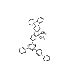 CC1(C)C2=CC3C4=CC=CCC4C4(CCCCC4)C3C=C2c2ccc(-c3nc(-c4ccccc4)nc(-c4ccc(-c5ccccc5)cc4)n3)cc21